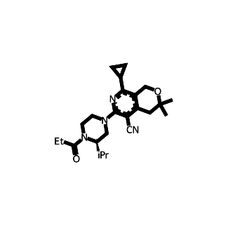 CCC(=O)N1CCN(c2nc(C3CC3)c3c(c2C#N)CC(C)(C)OC3)C[C@H]1C(C)C